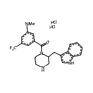 CNc1cc(C(=O)N2CCNCC2Cc2c[nH]c3ccccc23)cc(C(F)(F)F)c1.Cl.Cl